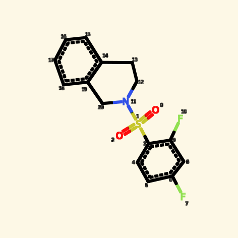 O=S(=O)(c1ccc(F)cc1F)N1CCc2ccccc2C1